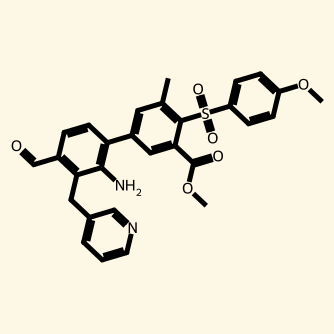 COC(=O)c1cc(-c2ccc(C=O)c(Cc3cccnc3)c2N)cc(C)c1S(=O)(=O)c1ccc(OC)cc1